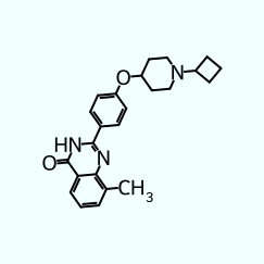 Cc1cccc2c(=O)[nH]c(-c3ccc(OC4CCN(C5CCC5)CC4)cc3)nc12